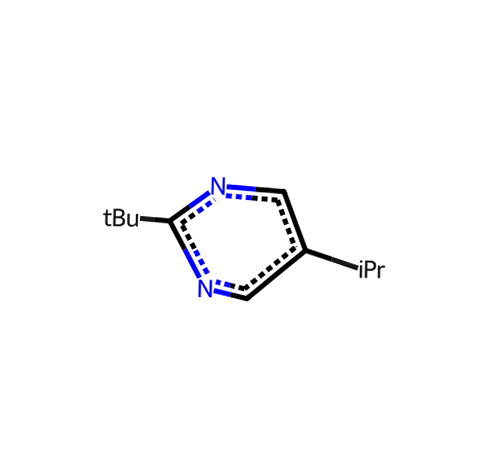 CC(C)c1cnc(C(C)(C)C)nc1